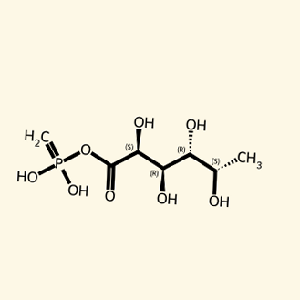 C=P(O)(O)OC(=O)[C@@H](O)[C@H](O)[C@H](O)[C@H](C)O